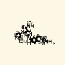 CC(C)NC(=O)c1cnc(Nc2ccc3c(c2)CCN(S(N)(=O)=O)C3)nc1Nc1ccnc(C(C)(C)C)c1